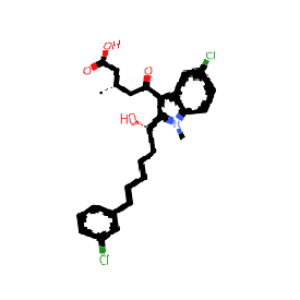 C[C@H](CC(=O)O)CC(=O)c1c([C@@H](O)CCCCCc2cccc(Cl)c2)n(C)c2ccc(Cl)cc12